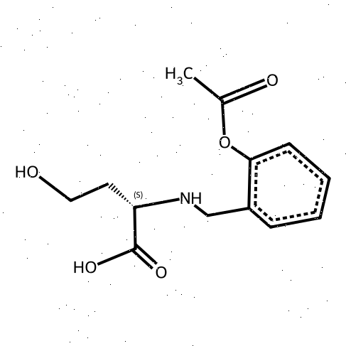 CC(=O)Oc1ccccc1CN[C@@H](CCO)C(=O)O